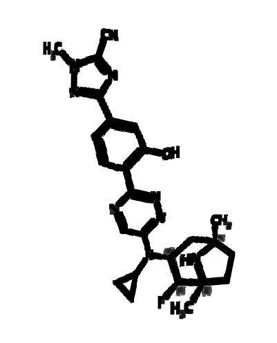 Cn1nc(-c2ccc(-c3ncc(N(C4CC4)[C@H]4C[C@]5(C)CC[C@@](C)(N5)[C@H]4F)nn3)c(O)c2)nc1C#N